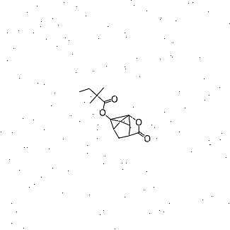 CCC(C)(C)C(=O)OC12C3CC4C(=O)OC15C4C325